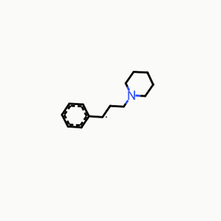 [CH](CCN1CCCCC1)c1ccccc1